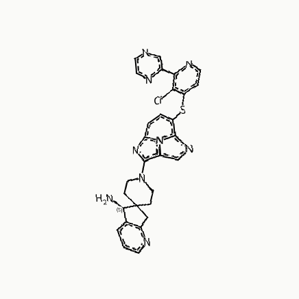 N[C@@H]1c2cccnc2CC12CCN(c1nc3ccc(Sc4ccnc(-c5cnccn5)c4Cl)c4ncc1n34)CC2